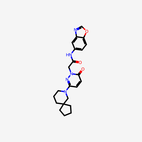 O=C(Cn1nc(N2CCCC3(CCCC3)C2)ccc1=O)Nc1ccc2ocnc2c1